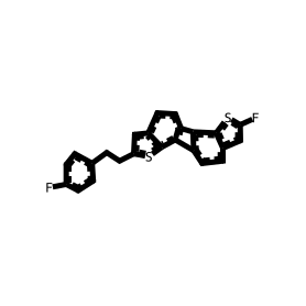 Fc1ccc(CCc2cc3ccc4c(c3s2)-c2ccc3cc(F)sc3c2-4)cc1